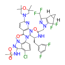 Cn1nc(NS(C)(=O)=O)c2c(Cl)ccc(-n3c([C@H](Cc4cc(F)cc(F)c4)NC(=O)Cn4nc(C(F)F)c5c4C(F)(F)[C@@H]4C[C@H]54)nc4nc(N5CC(C)(C)OC(C)(C)C5)ccc4c3=O)c21